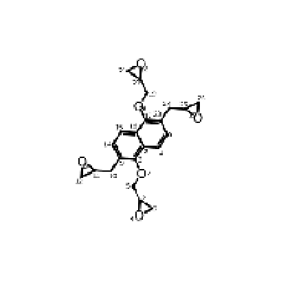 c1cc2c(OC[C@H]3CO3)c(CC3CO3)ccc2c(OCC2CO2)c1CC1CO1